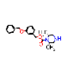 C[C@@H]1CNC[C@H](C)N1C(=O)OCc1cccc(OCc2ccccc2)c1